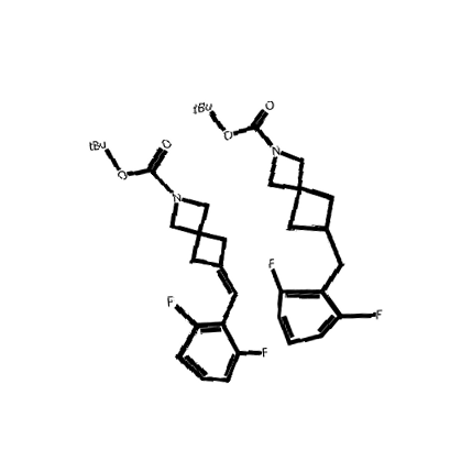 CC(C)(C)OC(=O)N1CC2(CC(=Cc3c(F)cccc3F)C2)C1.CC(C)(C)OC(=O)N1CC2(CC(Cc3c(F)cccc3F)C2)C1